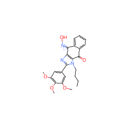 CCCCn1c(-c2cc(OC)c(OC)c(OC)c2)nc2c1C(=O)c1ccccc1/C2=N\O